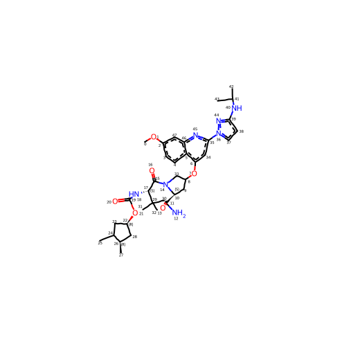 COc1ccc2c(OC3C[C@@H](C(N)=O)N(C(=O)[C@@H](NC(=O)O[C@@H]4CC(C)[C@H](C)C4)C(C)(C)C)C3)cc(-n3ccc(NC(C)C)n3)nc2c1